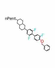 CCCCCC1CCC2CC(c3cc(F)c(-c4ccc(OCc5ccccc5)c(F)c4)c(F)c3)CCC2C1